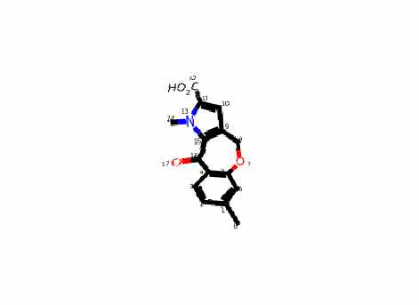 Cc1ccc2c(c1)OCc1cc(C(=O)O)n(C)c1C2=O